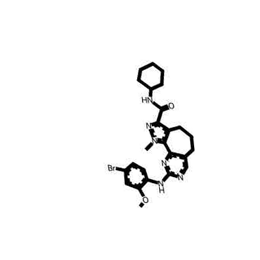 COc1cc(Br)ccc1Nc1ncc2c(n1)-c1c(c(C(=O)NC3CCCCC3)nn1C)CCC2